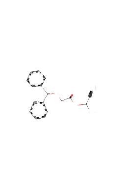 C#CC(C)OC(=O)COC(c1ccccc1)c1ccccc1